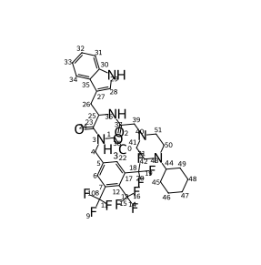 CC(=O)N(Cc1cc(C(F)(F)F)c(C(F)(F)F)c(C(F)(F)F)c1)C(=O)C(Cc1c[nH]c2ccccc12)NC(=O)CN1CCN(C2CCCCC2)CC1